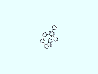 c1ccc(-c2nc(-c3ccccc3)nc(-c3cccc(-c4cccc(-c5cccc6sc7ccccc7c56)c4)c3)n2)cc1